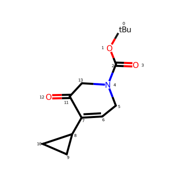 CC(C)(C)OC(=O)N1CC=C(C2CC2)C(=O)C1